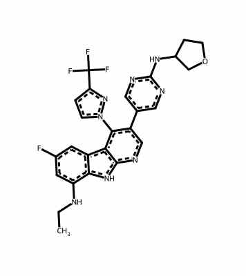 CCNc1cc(F)cc2c1[nH]c1ncc(-c3cnc(NC4CCOC4)nc3)c(-n3ccc(C(F)(F)F)n3)c12